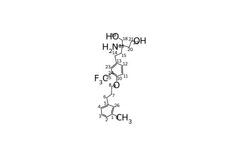 Cc1cccc(CCCOc2ccc(CCC(N)(CO)CCO)cc2C(F)(F)F)c1